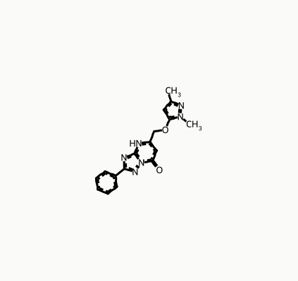 Cc1cc(OCc2cc(=O)n3nc(-c4ccccc4)nc3[nH]2)n(C)n1